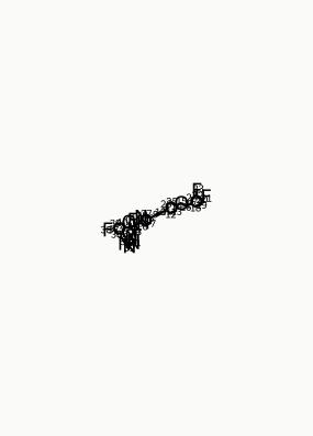 OC1(C(F)(F)c2ccc(C#Cc3ccc(OCc4ccc(F)c(F)c4)cc3)cn2)Cn2nnnc2-c2cc(F)ccc21